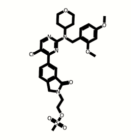 COc1ccc(CN(c2ncc(Cl)c(-c3ccc4c(c3)C(=O)N(CCOS(C)(=O)=O)C4)n2)C2CCOCC2)c(OC)c1